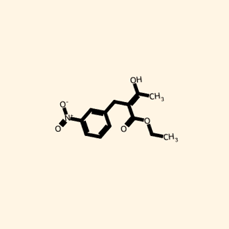 CCOC(=O)/C(Cc1cccc([N+](=O)[O-])c1)=C(\C)O